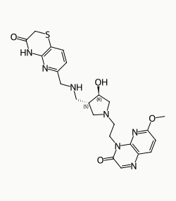 COc1ccc2ncc(=O)n(CCN3C[C@H](CNCc4ccc5c(n4)NC(=O)CS5)[C@@H](O)C3)c2n1